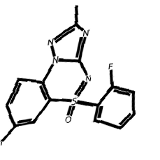 Cc1nc2n(n1)-c1ccc(Cl)cc1S(=O)(c1ccccc1F)=N2